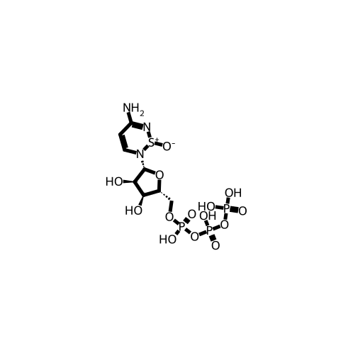 NC1=N[S+]([O-])N([C@@H]2O[C@H](COP(=O)(O)OP(=O)(O)OP(=O)(O)O)[C@@H](O)[C@H]2O)C=C1